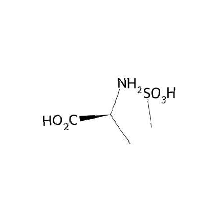 CS(=O)(=O)O.C[C@H](N)C(=O)O